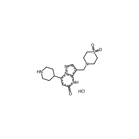 Cl.O=c1cc(C2CCNCC2)n2ncc(CN3CCS(=O)(=O)CC3)c2[nH]1